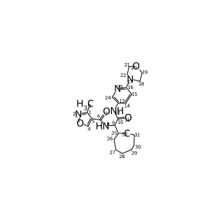 Cc1nocc1C(=O)NC(C(=O)Nc1ccc(N2CCOCC2)nc1)C1CCCCCCC1